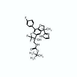 CC(C)(C)OC(=O)NC[C@](O)(c1cc2c(c(-c3ccc(F)cc3)n1)OC[C@]2(C)c1ncc[nH]1)C(F)(F)F